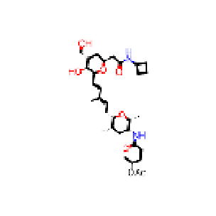 CC(=O)O[C@@H](C)/C=C\C(=O)N[C@@H]1C[C@H](C)[C@H](C/C=C(C)/C=C/C2O[C@H](CC(=O)NC3CCC3)C[C@@H](CO)[C@@H]2O)O[C@@H]1C